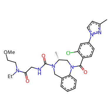 CCN(CCOC)C(=O)CNC(=O)N1Cc2ccccc2N(C(=O)c2ccc(-n3ccc(C)n3)cc2Cl)C[C@H]1C